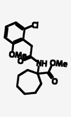 COC(=O)C1(NC(=O)Cc2c(Cl)cccc2OC)CCCCCC1